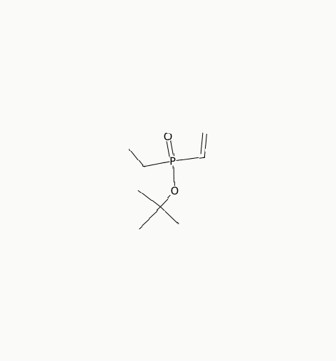 C=CP(=O)(CC)OC(C)(C)C